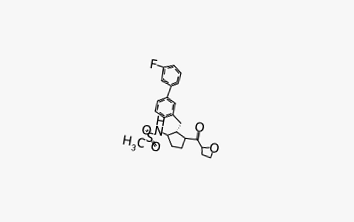 CS(=O)(=O)NC1CCC(C(=O)C2CCO2)[C@H]1Cc1cccc(-c2cccc(F)c2)c1